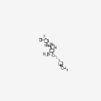 CN1CCC(CCCOc2cc3ncnc(Nc4ccc(F)c(Cl)c4)c3cc2N)CC1